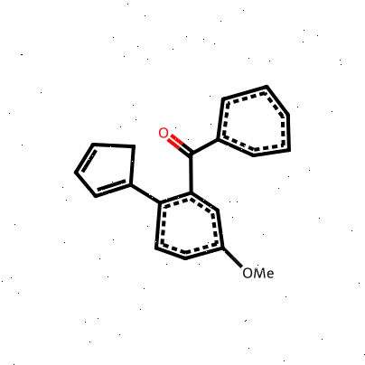 COc1ccc(C2=CC=CC2)c(C(=O)c2ccccc2)c1